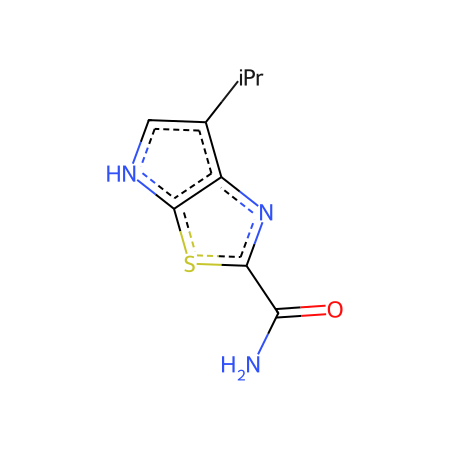 CC(C)c1c[nH]c2sc(C(N)=O)nc12